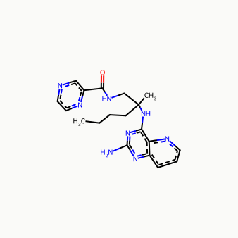 CCCCC(C)(CNC(=O)c1cnccn1)Nc1nc(N)nc2cccnc12